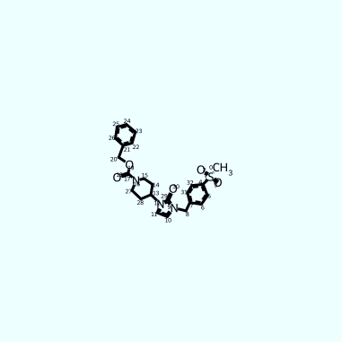 CS(=O)(=O)c1ccc(Cn2ccn(C3CCN(C(=O)OCc4ccccc4)CC3)c2=O)cc1